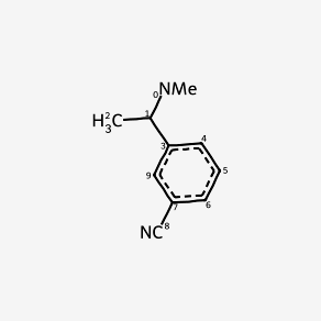 CNC(C)c1cccc(C#N)c1